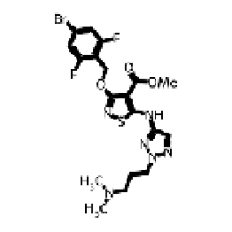 COC(=O)c1c(OCc2c(F)cc(Br)cc2F)nsc1Nc1cnn(CCCN(C)C)n1